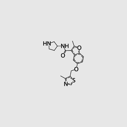 Cc1ncsc1COc1ccc2oc(C)c(C(=O)NC3CCNC3)c2c1